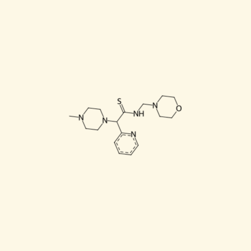 CN1CCN(C(C(=S)NCN2CCOCC2)c2ccccn2)CC1